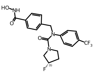 O=C(NO)c1ccc(CN(C(=O)N2CC[C@H](F)C2)c2ccc(C(F)(F)F)cc2)cc1